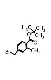 Cc1cc(CBr)ccc1C(=O)OC(C)(C)C